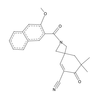 COc1cc2ccccc2cc1C(=O)N1CC2(C=C(C#N)C(=O)C(C)(C)C2)C1